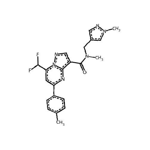 Cc1ccc(-c2cc(C(F)F)n3ncc(C(=O)N(C)Cc4cnn(C)c4)c3n2)cc1